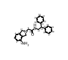 Nc1cccc2c1CN(CC(=O)NCC(c1ccccc1)c1ccccc1)C2